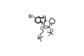 CC(C)(C)OC(=O)N1CCC[C@H]1c1nc2cc(Br)ccc2n1COCC[Si](C)(C)C